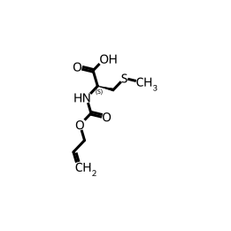 C=CCOC(=O)N[C@H](CSC)C(=O)O